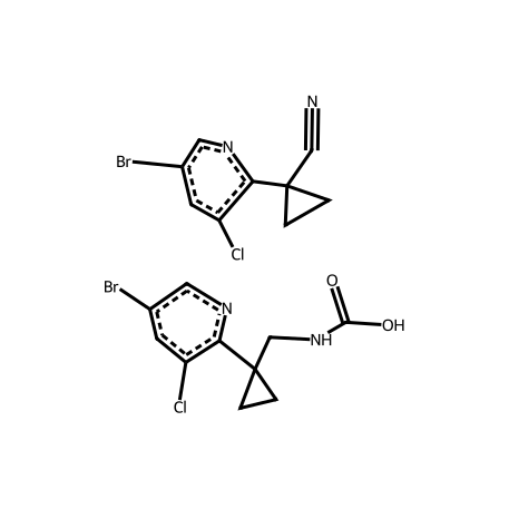 N#CC1(c2ncc(Br)cc2Cl)CC1.O=C(O)NCC1(c2ncc(Br)cc2Cl)CC1